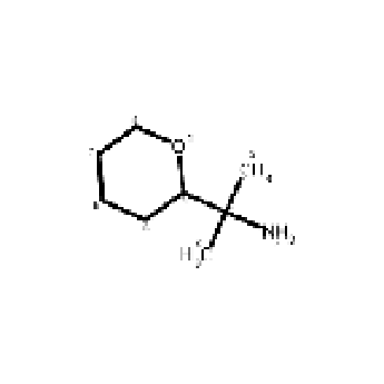 CC(C)(N)C1CCCCO1